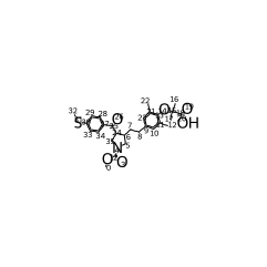 COC(=O)N1CC(CCc2cc(C)c(OC(C)(C)C(=O)O)c(C)c2)C(C(=O)c2ccc(SC)cc2)C1